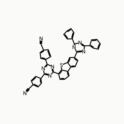 N#Cc1ccc(-c2nc(-c3ccc(C#N)cc3)nc(-c3cccc4c3sc3cc(-c5nc(-c6ccccc6)nc(-c6ccccc6)n5)ccc34)n2)cc1